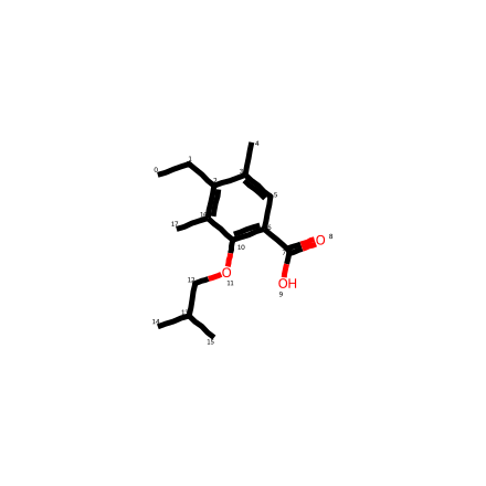 CCc1c(C)cc(C(=O)O)c(OCC(C)C)c1C